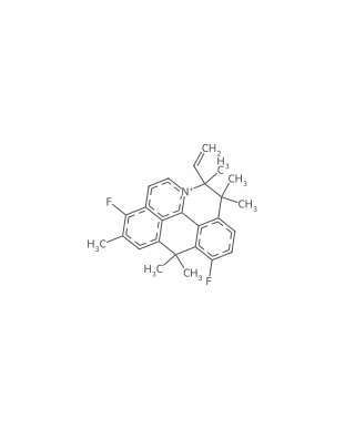 C=CC1(C)[n+]2ccc3c(F)c(C)cc4c3c2-c2c(ccc(F)c2C4(C)C)C1(C)C